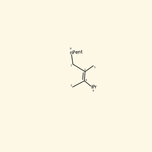 CCCCCC/C(C)=C(\C)C(C)C